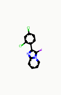 Clc1ccc(-c2nc3ccccn3c2I)c(Cl)c1